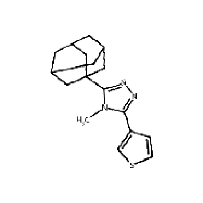 Cn1c(-c2ccsc2)nnc1C12CC3CC(CC(C3)C1)C2